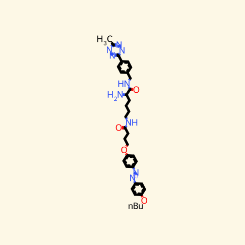 CCCCOc1ccc(/N=N/c2ccc(OCCCC(=O)NCCCCC(N)C(=O)NCc3ccc(-c4nnc(C)nn4)cc3)cc2)cc1